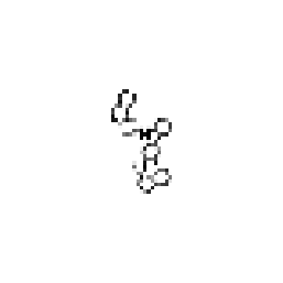 c1cc2c3c(cccc3c1)-c1cc3c4ccccc4n(-c4ccc5ccc6ccccc6c5c4)c3cc1O2